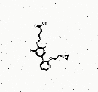 O=C(O)CCCOc1c(F)cc(-c2cccnc2OCCN2CC2)cc1F